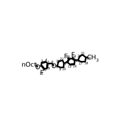 CCCCCCCCOc1ccc(COC2CCC(c3ccc(C4CCC(C)CC4)c(F)c3F)CC2)cc1F